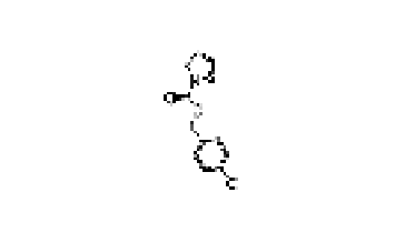 O=C(OCc1ccc(Cl)cc1)N1CC=CS1